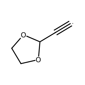 [C]#CC1OCCO1